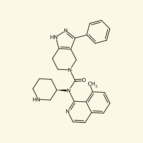 Cc1cccc2ccnc(N(C(=O)N3CCc4[nH]nc(-c5ccccc5)c4C3)[C@@H]3CCCNC3)c12